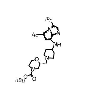 CCCCOC(=O)N1CCO[C@H](CN2CCC(Nc3cc(C(C)=O)cn4c(C(C)C)cnc34)CC2)C1